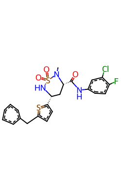 CN1[C@H](C(=O)Nc2ccc(F)c(Cl)c2)C[C@H](c2ccc(Cc3ccccc3)s2)NS1(=O)=O